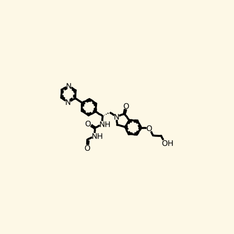 O=CNC(=O)N[C@@H](CN1Cc2ccc(OCCO)cc2C1=O)c1ccc(-c2cnccn2)cc1